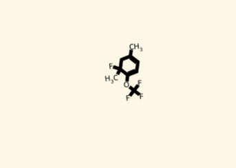 CC1=CC=C(OC(F)(F)F)C(C)(F)C1